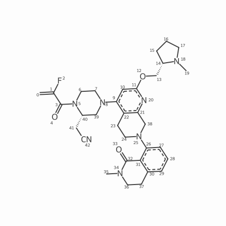 C=C(F)C(=O)N1CCN(c2cc(OC[C@@H]3CCCN3C)nc3c2CCN(c2cccc4c2C(=O)N(C)CC4)C3)C[C@@H]1CC#N